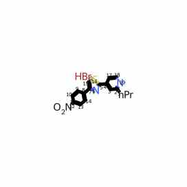 Br.CCCc1cc(-c2nc(-c3ccc([N+](=O)[O-])cc3)cs2)ccn1